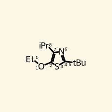 CCOc1sc(C(C)(C)C)nc1C(C)C